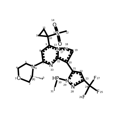 C[C@@H]1COCCN1c1cc(C2(S(C)(=O)=O)CC2)n2ncc(-c3cc(C(F)(F)F)nn3PI)c2n1